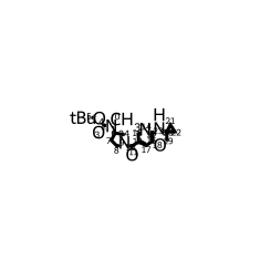 CN(C(=O)OC(C)(C)C)[C@H]1CCN(C(=O)c2cnc3c(c2)OCC2(CC2)N3)C1